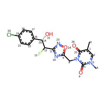 Cc1cn(C)c(=O)n(Cc2nc(C(F)[C@@H](O)c3ccc(Cl)cc3)no2)c1=O